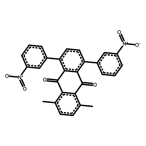 Cc1ccc(C)c2c1C(=O)c1c(-c3cccc([N+](=O)[O-])c3)ccc(-c3cccc([N+](=O)[O-])c3)c1C2=O